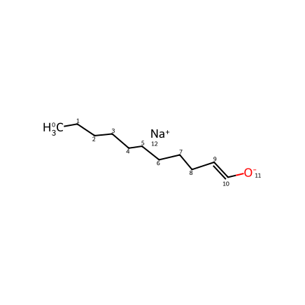 CCCCCCCCCC=C[O-].[Na+]